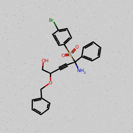 NC(C#CC(CO)OCc1ccccc1)(c1ccccc1)S(=O)(=O)c1ccc(Br)cc1